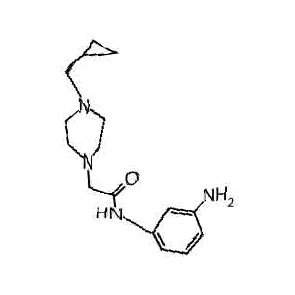 Nc1cccc(NC(=O)CN2CCN(CC3CC3)CC2)c1